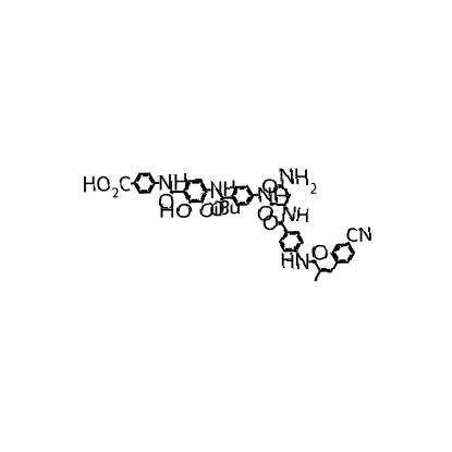 CC(=Cc1ccc(C#N)cc1)C(=O)Nc1ccc(C(=O)NC(CC(N)=O)C(=O)Nc2ccc(C(=O)Nc3ccc(C(=O)Nc4ccc(C(=O)O)cc4)c(O)c3OCC(C)C)cc2)cc1